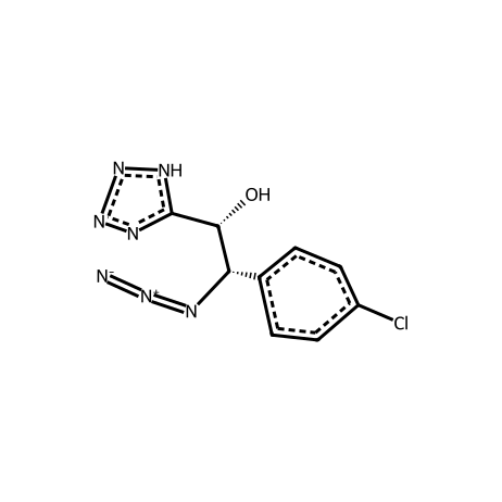 [N-]=[N+]=N[C@@H](c1ccc(Cl)cc1)[C@@H](O)c1nnn[nH]1